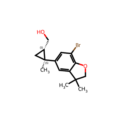 CC1(C)COc2c(Br)cc([C@@]3(C)C[C@@H]3CO)cc21